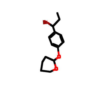 CCC(Br)c1ccc(OC2CCCCO2)cc1